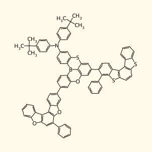 CC(C)(C)c1ccc(N(c2ccc(C(C)(C)C)cc2)c2ccc3c(c2)Sc2cc(-c4ccc5c(sc6ccc7sc8ccccc8c7c65)c4-c4ccccc4)cc4c2B3c2ccc(-c3ccc5c(c3)oc3c(-c6ccccc6)cc6oc7ccccc7c6c35)cc2O4)cc1